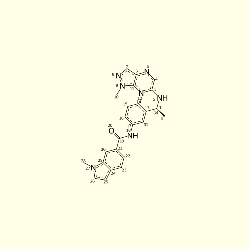 C[C@H](Nc1cnc2cnn(C)c2n1)c1cccc(NC(=O)c2ccc3ccn(C)c3c2)c1